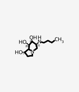 CCCCN[C@H]1CN2CC[C@H](O)C2[C@@H](O)[C@@H]1O